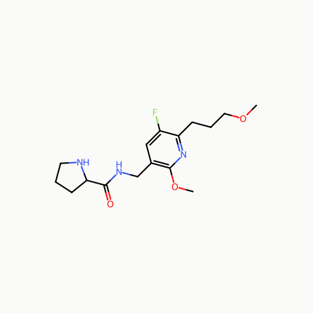 COCCCc1nc(OC)c(CNC(=O)C2CCCN2)cc1F